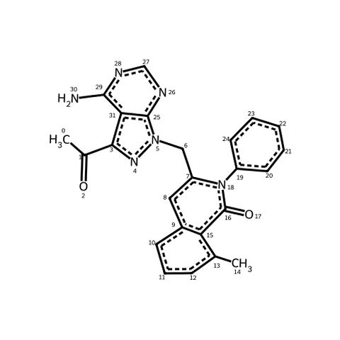 CC(=O)c1nn(Cc2cc3cccc(C)c3c(=O)n2-c2ccccc2)c2ncnc(N)c12